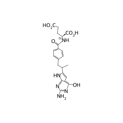 CC(Cc1ccc(C(=O)N[C@@H](CCC(=O)O)C(=O)O)cc1)c1cc2c(O)nc(N)nc2[nH]1